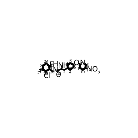 NC(Cc1ccc(Oc2ccc([N+](=O)[O-])cn2)cc1)C(=O)NCc1c(F)ccc(F)c1Cl